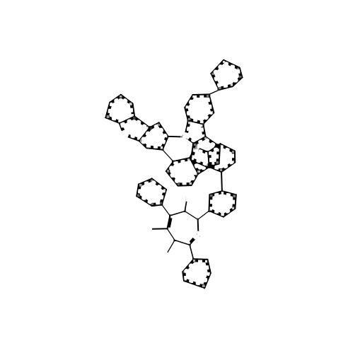 CCCC1C(c2ccccc2)=C(C)C(C)C(c2ccccc2)=NC1c1cccc(-c2cccc3oc4c(-c5cc6oc7ccccc7c6cc5-n5c6ccccc6c6cc(-c7ccccc7)ccc65)cccc4c23)c1